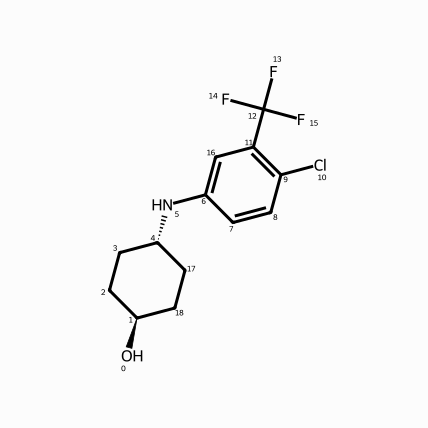 O[C@H]1CC[C@H](Nc2ccc(Cl)c(C(F)(F)F)c2)CC1